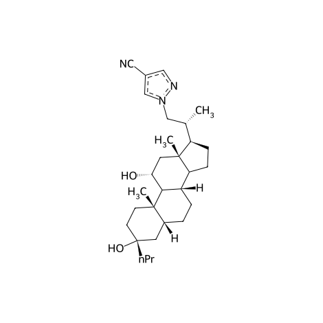 CCC[C@@]1(O)CC[C@]2(C)C3[C@@H](CC[C@@H]2C1)C1CC[C@H]([C@@H](C)Cn2cc(C#N)cn2)[C@@]1(C)C[C@H]3O